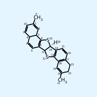 CC1=CC2C3=C(C=CC2C=C1)C1Sc2c(ccc4c2C=C(C)CC4)[C@@H]1S3